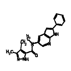 Cc1n[nH]c(C(=O)N(C)c2cnc3[nH]c(-c4ccccc4)cc3c2)c1C